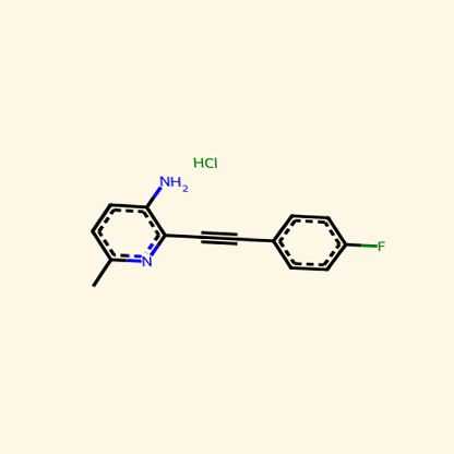 Cc1ccc(N)c(C#Cc2ccc(F)cc2)n1.Cl